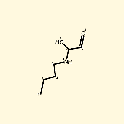 CCCCNC(O)C=O